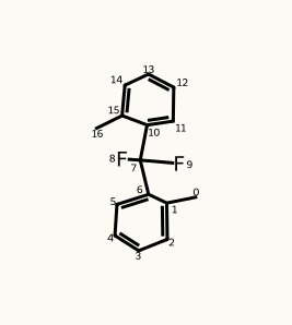 Cc1ccccc1C(F)(F)c1ccccc1C